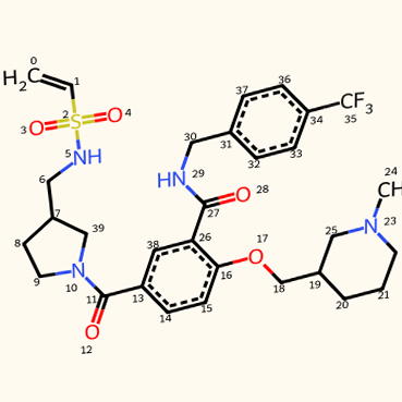 C=CS(=O)(=O)NCC1CCN(C(=O)c2ccc(OCC3CCCN(C)C3)c(C(=O)NCc3ccc(C(F)(F)F)cc3)c2)C1